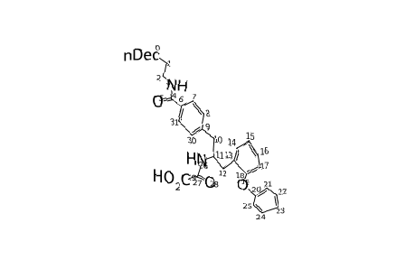 CCCCCCCCCCCCNC(=O)c1ccc(CC(Cc2ccccc2Oc2ccccc2)NC(=O)C(=O)O)cc1